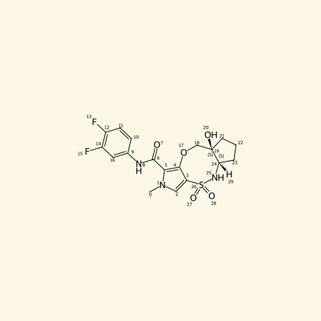 Cn1cc2c(c1C(=O)Nc1ccc(F)c(F)c1)OC[C@]1(O)CCC[C@@H]1NS2(=O)=O